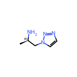 C[C@@H](N)Cn1ccnn1